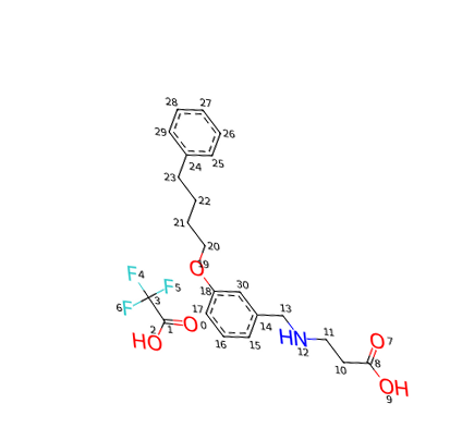 O=C(O)C(F)(F)F.O=C(O)CCNCc1cccc(OCCCCc2ccccc2)c1